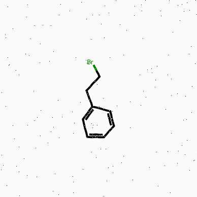 BrCCc1[c]cccc1